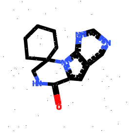 O=C1NCC2(CCCCC2)n2c1cc1cncnc12